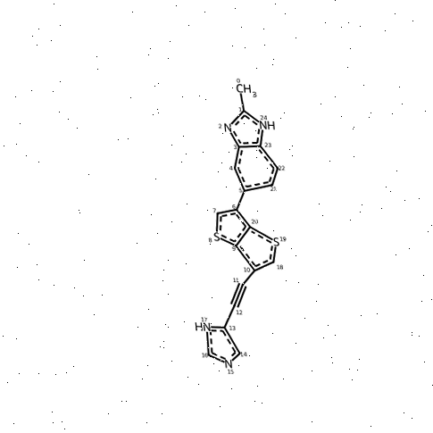 Cc1nc2cc(-c3csc4c(C#Cc5cnc[nH]5)csc34)ccc2[nH]1